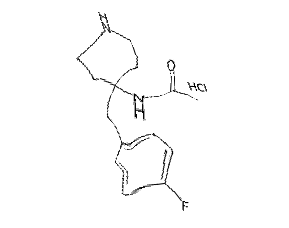 CC(=O)NC1(Cc2ccc(F)cc2)CCNCC1.Cl